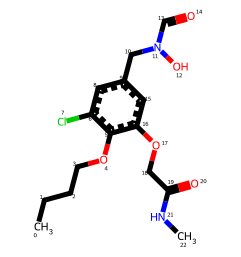 CCCCOc1c(Cl)cc(CN(O)C=O)cc1OCC(=O)NC